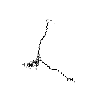 CCCCCCCCCCC#CC#CCCCCCCCCCOC[C@H](COP(=O)([O-])OCC[N+](C)(C)C)OCCCCCCCCCC#CC#CCCCCCCCCCC